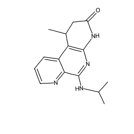 CC(C)Nc1nc2c(c3cccnc13)C(C)CC(=O)N2